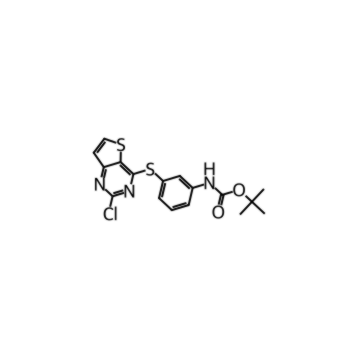 CC(C)(C)OC(=O)Nc1cccc(Sc2nc(Cl)nc3ccsc23)c1